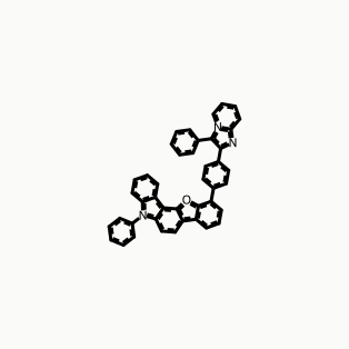 c1ccc(-c2c(-c3ccc(-c4cccc5c4oc4c5ccc5c4c4ccccc4n5-c4ccccc4)cc3)nc3ccccn23)cc1